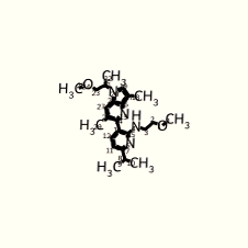 COCCNc1nc(C(C)C)ccc1-c1nc2c(C)cn(C(C)COC)c2cc1C